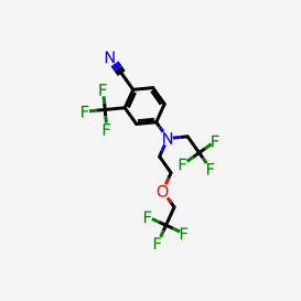 N#Cc1ccc(N(CCOCC(F)(F)F)CC(F)(F)F)cc1C(F)(F)F